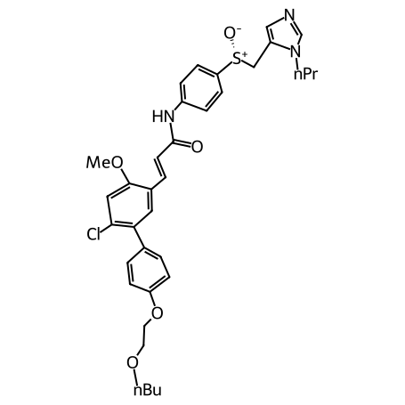 CCCCOCCOc1ccc(-c2cc(/C=C/C(=O)Nc3ccc([S@+]([O-])Cc4cncn4CCC)cc3)c(OC)cc2Cl)cc1